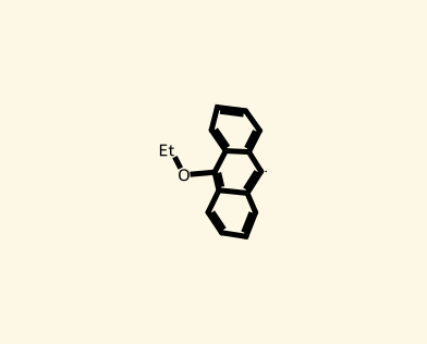 CCOc1c2ccccc2[c]c2ccccc12